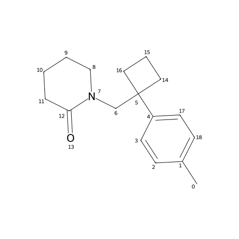 Cc1ccc(C2(CN3CCCCC3=O)CCC2)cc1